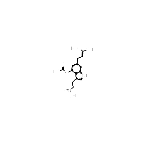 CC(=O)Oc1cc(CC=C(C)C)cc2[nH]cc(CCN(C)C)c12